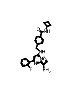 Bc1cnn2c(NCc3ccc(C(=O)NC4CCC4)cc3)cc(-c3ccccc3F)nc12